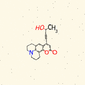 CC(O)C#Cc1cc(=O)oc2c3c4c(cc12)CCCN4CCC3